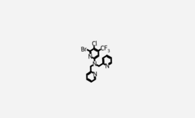 FC(F)(F)c1cc(N(Cc2ccccn2)Cc2ccccn2)nc(Br)c1Cl